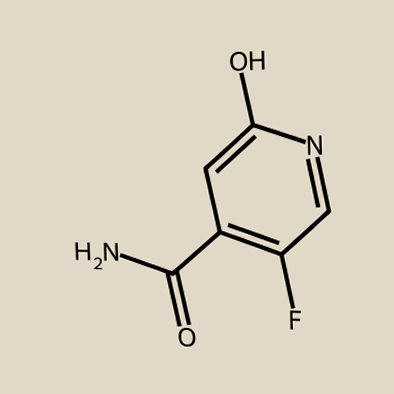 NC(=O)c1cc(O)ncc1F